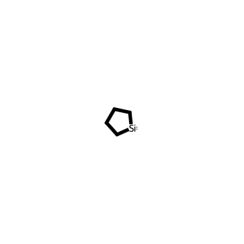 C1CC[Si]C1